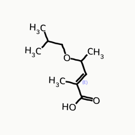 C/C(=C\C(C)OCC(C)C)C(=O)O